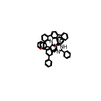 c1ccc(-c2cc(C3=NC(c4ccccc4)NC(n4c5ccccc5c5ccc6c7ccccc7n(-c7c(-c8ccccc8)cccc7-c7ccccc7)c6c54)=N3)cc(-c3ccccc3)c2)cc1